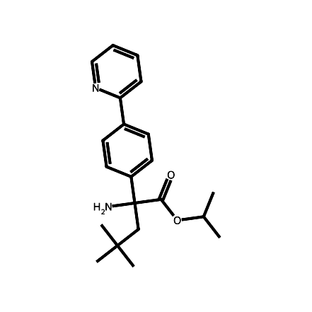 CC(C)OC(=O)C(N)(CC(C)(C)C)c1ccc(-c2ccccn2)cc1